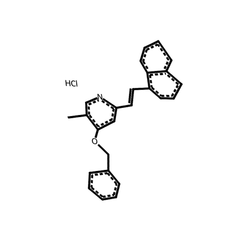 Cc1cnc(C=Cc2cccc3ccccc23)cc1OCc1ccccc1.Cl